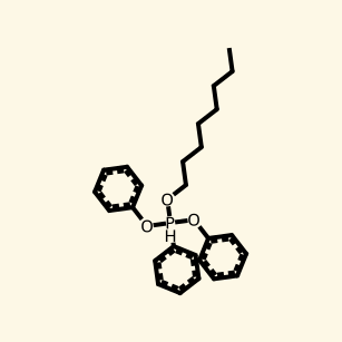 CCCCCCCCO[PH](Oc1ccccc1)(Oc1ccccc1)c1ccccc1